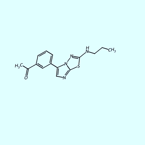 CCCNc1nn2c(-c3cccc(C(C)=O)c3)cnc2s1